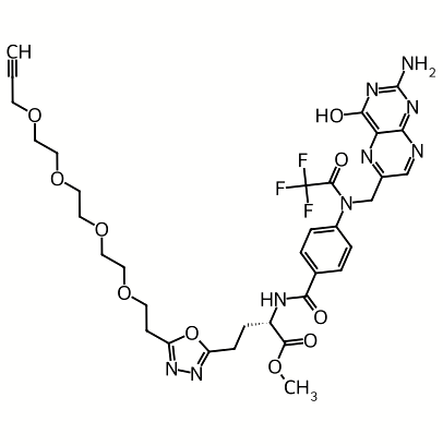 C#CCOCCOCCOCCOCCc1nnc(CC[C@H](NC(=O)c2ccc(N(Cc3cnc4nc(N)nc(O)c4n3)C(=O)C(F)(F)F)cc2)C(=O)OC)o1